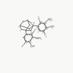 Nc1c(O)c(F)cc(C23CC4CC(C2)CC(c2cc(F)c(O)c(N)c2F)(C4)C3)c1F